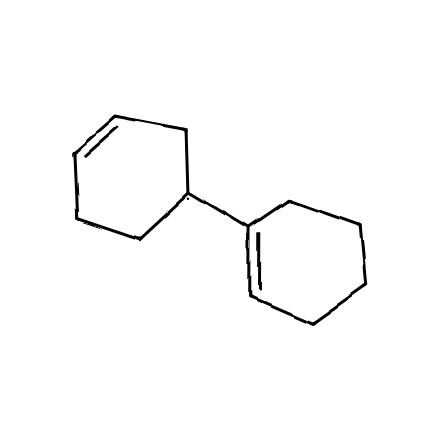 C1=CC[C](C2=CCCCC2)CC1